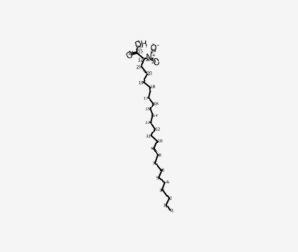 CCCCCCCCCCCCCCCCCCCCCCC(C(=O)O)[N+](=O)[O-]